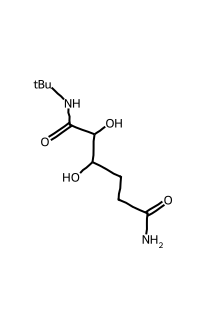 CC(C)(C)NC(=O)C(O)C(O)CCC(N)=O